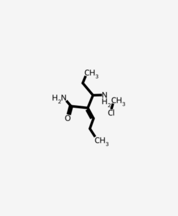 CCC=C(C(N)=O)C(N)CC.CCl